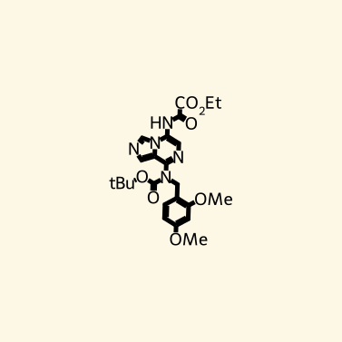 CCOC(=O)C(=O)Nc1cnc(N(Cc2ccc(OC)cc2OC)C(=O)OC(C)(C)C)c2cncn12